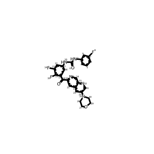 O=C(Nc1cccc(F)c1)Nc1cc(F)c(F)c(C(=O)c2cc3cc(N4CCOCC4)cnc3cn2)c1